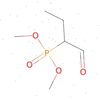 CCC(C=O)P(=O)(OC)OC